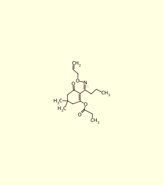 C=CCO/N=C(/CCC)C1=C(OC(=O)CC)CC(C)(C)CC1=O